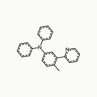 Cc1ccc(N(c2ccccc2)c2ccccc2)cc1-c1ccccn1